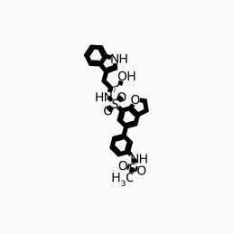 CS(=O)(=O)Nc1cccc(-c2cc3c(c(S(=O)(=O)N[C@@H](CO)Cc4c[nH]c5ccccc45)c2)OCC3)c1